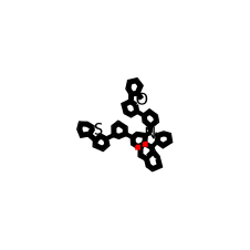 c1cc(-c2cccc(N(c3cccc(-c4cccc5c4oc4ccccc45)c3)c3ccccc3-c3cccc4ccccc34)c2)cc(-c2cccc3c2sc2ccccc23)c1